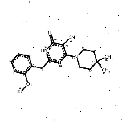 CCOc1ccccc1Cc1nc(N2CCC(C)(C)CC2)c(C#N)c(=O)[nH]1